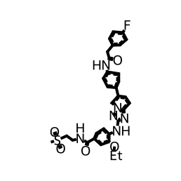 CCOc1cc(C(=O)NCCS(C)(=O)=O)ccc1Nc1nc2ccc(-c3ccc(NC(=O)Cc4ccc(F)cc4)cc3)cn2n1